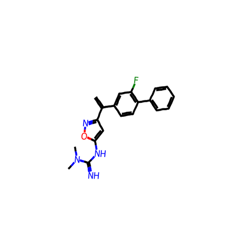 C=C(c1ccc(-c2ccccc2)c(F)c1)c1cc(NC(=N)N(C)C)on1